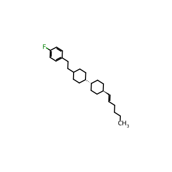 CCCC/C=C/[C@H]1CC[C@H](C2CCC(CCc3ccc(F)cc3)CC2)CC1